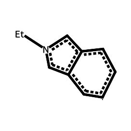 CCn1cc2c[c]ccc2c1